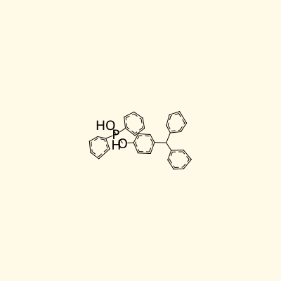 O[PH](Oc1ccc(C(c2ccccc2)c2ccccc2)cc1)(c1ccccc1)c1ccccc1